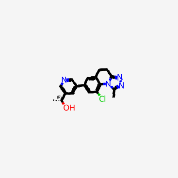 Cc1nnc2n1-c1c(Cl)cc(-c3cncc([C@@H](C)O)c3)cc1CC2